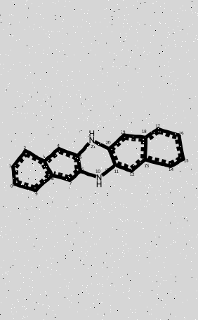 c1ccc2cc3c(cc2c1)Nc1cc2ccccc2cc1N3